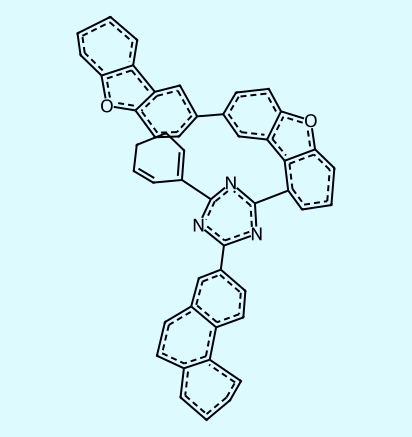 C1=CC(c2nc(-c3ccc4c(ccc5ccccc54)c3)nc(-c3cccc4oc5ccc(-c6ccc7oc8ccccc8c7c6)cc5c34)n2)=CCC1